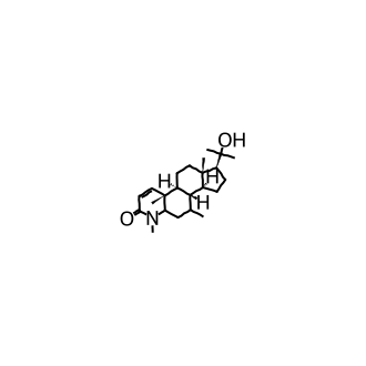 CC1CC2N(C)C(=O)C=C[C@]2(C)[C@H]2CC[C@]3(C)[C@@H](C(C)(C)O)CC[C@H]3[C@H]12